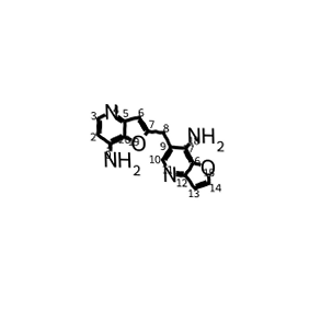 Nc1ccnc2cc(Cc3cnc4ccoc4c3N)oc12